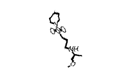 COCC(C)NCCCS(=O)(=O)N1CC[CH]CC1